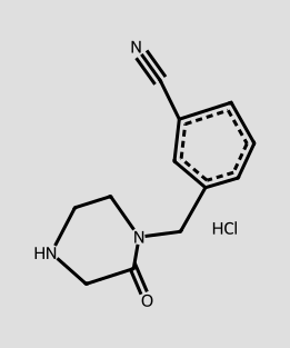 Cl.N#Cc1cccc(CN2CCNCC2=O)c1